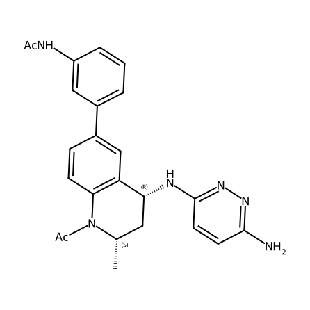 CC(=O)Nc1cccc(-c2ccc3c(c2)[C@H](Nc2ccc(N)nn2)C[C@H](C)N3C(C)=O)c1